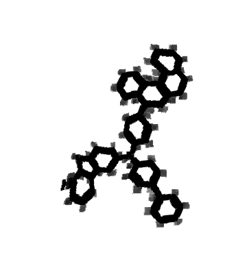 C1=Cc2c(sc3ccc(N(c4ccc(-c5ccccc5)cc4)c4ccc(-c5cc6ccc7ccccc7c6c6ccccc56)cc4)cc23)NC1